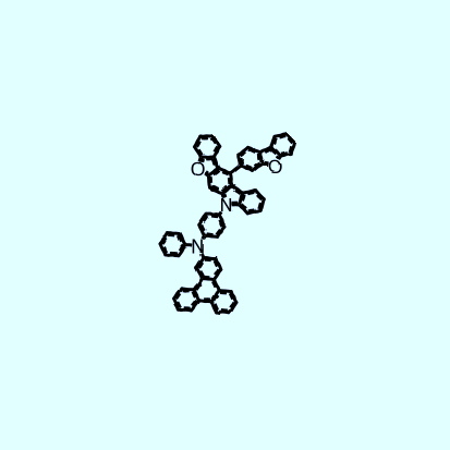 c1ccc(N(c2ccc(-n3c4ccccc4c4c(-c5ccc6c(c5)oc5ccccc56)c5c(cc43)oc3ccccc35)cc2)c2ccc3c4ccccc4c4ccccc4c3c2)cc1